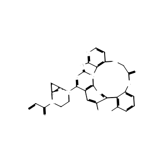 C=CC(=O)N1CCN(c2nc(=O)n3c4nc(c(F)cc24)-c2c(F)cccc2NC(=O)COc2ccnc(C(C)C)c2-3)C2C[C@H]21